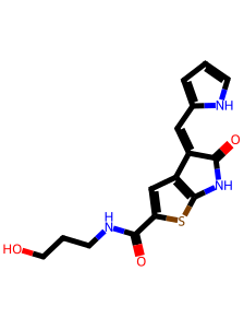 O=C1Nc2sc(C(=O)NCCCO)cc2/C1=C/c1ccc[nH]1